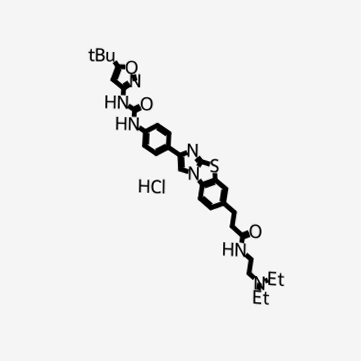 CCN(CC)CCNC(=O)CCc1ccc2c(c1)sc1nc(-c3ccc(NC(=O)Nc4cc(C(C)(C)C)on4)cc3)cn12.Cl